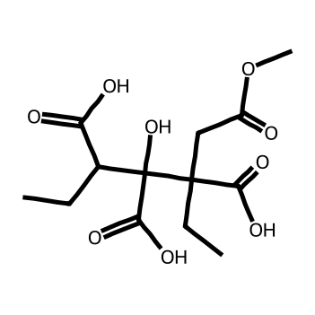 CCC(C(=O)O)C(O)(C(=O)O)C(CC)(CC(=O)OC)C(=O)O